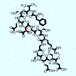 CC(C)[C@H](NC(=O)[C@@H](N)Cc1ccccc1)C(=O)N[C@@H](CO)C(=O)N[C@@H](CCC(=O)O)C(=O)N[C@H](C(=O)N[C@@H](CCC(=O)O)C(=O)N[C@@H](CO)C(=O)N[C@@H](CCCNC(=N)N)C(=O)NCC(=O)N[C@@H](CO)C(=O)N[C@@H](CCC(=O)O)C(=O)N[C@@H](CO)C(=O)NCC(=O)O)[C@@H](C)O